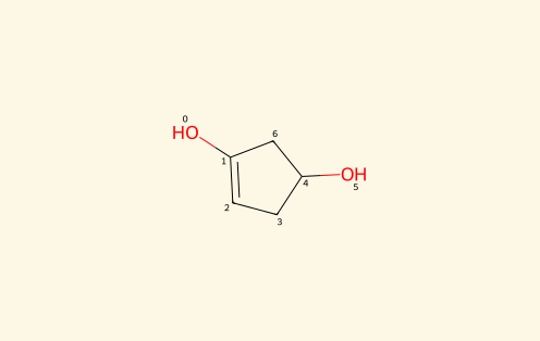 OC1=CCC(O)C1